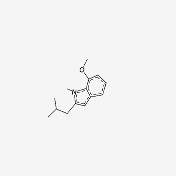 COc1cccc2cc(CC(C)C)n(C)c12